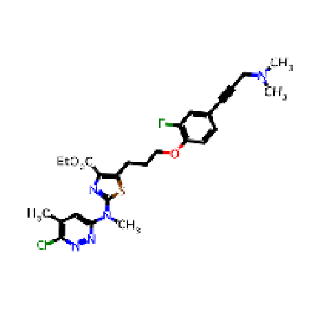 CCOC(=O)c1nc(N(C)c2cc(C)c(Cl)nn2)sc1CCCOc1ccc(C#CCN(C)C)cc1F